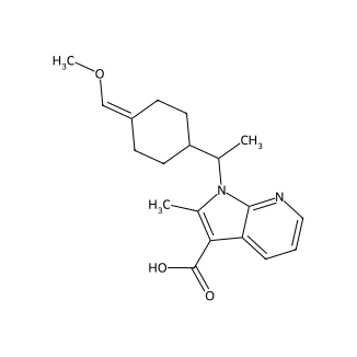 COC=C1CCC(C(C)n2c(C)c(C(=O)O)c3cccnc32)CC1